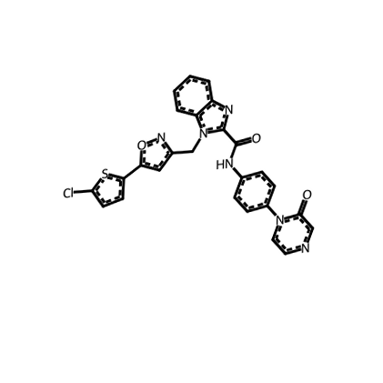 O=C(Nc1ccc(-n2ccncc2=O)cc1)c1nc2ccccc2n1Cc1cc(-c2ccc(Cl)s2)on1